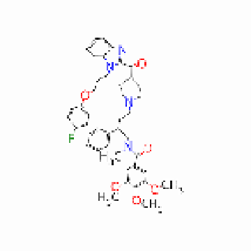 COc1cc(C(=O)N(C)CC(CCN2CCC(C(=O)c3nc4ccccc4n3CCCOc3ccc(F)cc3)CC2)c2ccccc2)cc(OC)c1OC